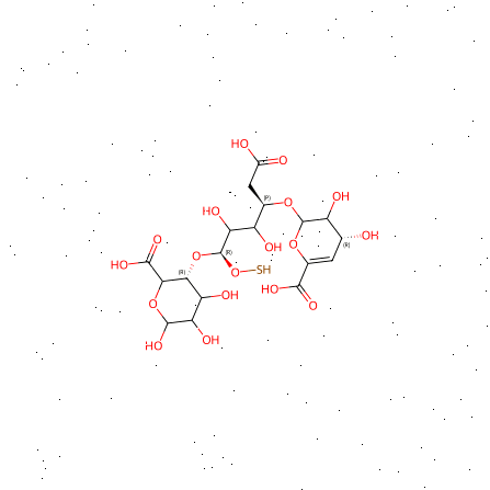 O=C(O)C[C@@H](OC1OC(C(=O)O)=C[C@@H](O)C1O)C(O)C(O)[C@@H](OS)O[C@H]1C(C(=O)O)OC(O)C(O)C1O